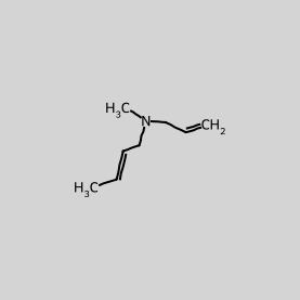 C=CCN(C)CC=CC